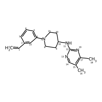 C=Cc1cccc(N2CCC(Nc3ncc(C)c(C)n3)CC2)c1